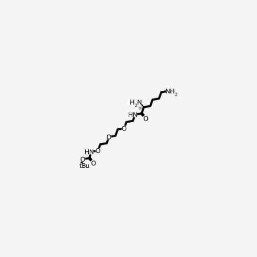 CC(C)(C)OC(=O)NOCCOCCOCCNC(=O)[C@@H](N)CCCCN